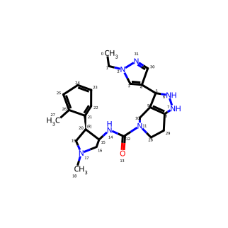 CCn1cc(C2NNC3=C2CN(C(=O)NC2CN(C)C[C@H]2c2ccccc2C)CC3)cn1